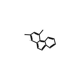 Cc1[c]c2ccc3ccccc3c2c(C)c1